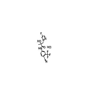 CC(O)(Cn1cc(F)cn1)C(=O)Nc1ccc(C#N)c(C(F)(F)F)c1.Cl